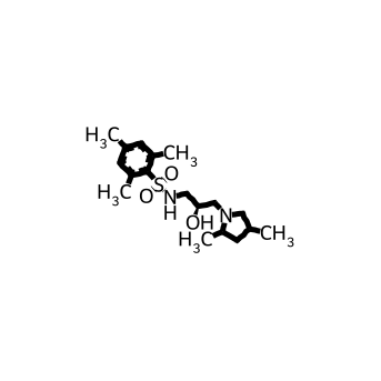 Cc1cc(C)c(S(=O)(=O)NC[C@H](O)CN2CC(C)CC2C)c(C)c1